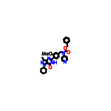 COc1cc(CN(C(=O)OCc2ccccc2)c2ccncc2)ccc1-c1nc2c(C)nn(C3CCCCC3)c2c(=O)[nH]1